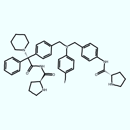 O=C(NC(=O)[C@@](c1ccccc1)(c1ccc(CN(Cc2ccc(NC(=O)[C@@H]3CCCN3)cc2)c2ccc(F)cc2)cc1)N1CCCCC1)[C@@H]1CCCN1